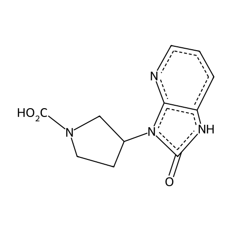 O=C(O)N1CCC(n2c(=O)[nH]c3cccnc32)C1